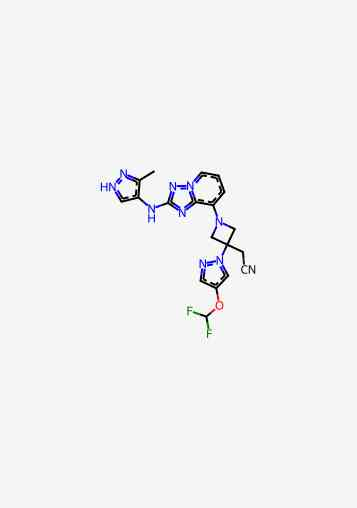 Cc1n[nH]cc1Nc1nc2c(N3CC(CC#N)(n4cc(OC(F)F)cn4)C3)cccn2n1